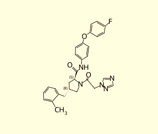 Cc1ccccc1C[C@@H]1C[C@@H](C(=O)Nc2ccc(Oc3ccc(F)cc3)cc2)N(C(=O)Cn2cncn2)C1